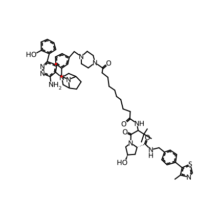 Cc1ncsc1-c1ccc(CNC(=O)[C@@H]2C[C@@H](O)CN2C(=O)C(NC(=O)CCCCCCCCC(=O)N2CCN(Cc3cccc(CN4C5CCC4CN(c4cc(-c6ccccc6O)nnc4N)C5)c3)CC2)C(C)(C)C)cc1